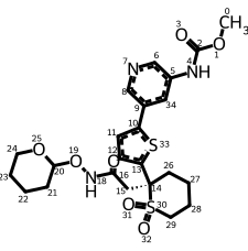 COC(=O)Nc1cncc(-c2ccc([C@@]3(CC(=O)NOC4CCCCO4)CCCCS3(=O)=O)s2)c1